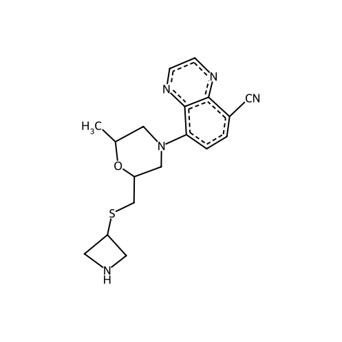 CC1CN(c2ccc(C#N)c3nccnc23)CC(CSC2CNC2)O1